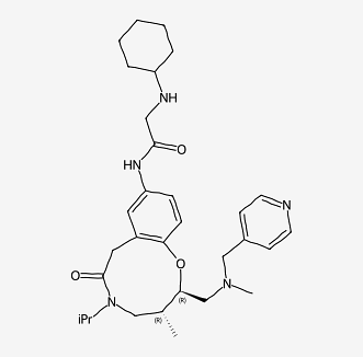 CC(C)N1C[C@@H](C)[C@H](CN(C)Cc2ccncc2)Oc2ccc(NC(=O)CNC3CCCCC3)cc2CC1=O